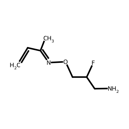 C=CC(C)=NOCC(F)CN